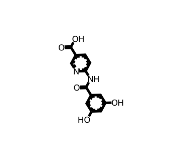 O=C(O)c1ccc(NC(=O)c2cc(O)cc(O)c2)nc1